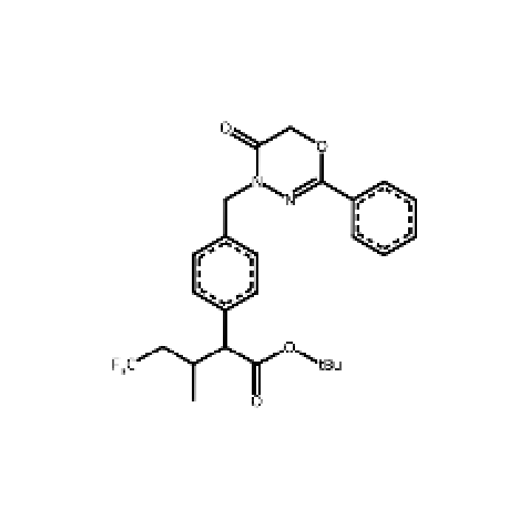 CC(CC(F)(F)F)C(C(=O)OC(C)(C)C)c1ccc(CN2N=C(c3ccccc3)OCC2=O)cc1